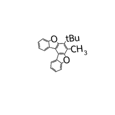 Cc1c(C(C)(C)C)c2oc3ccccc3c2c2c1oc1ccccc12